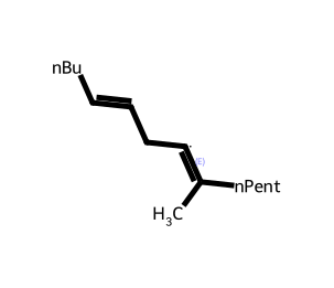 CCCCC=CC/[C]=C(\C)CCCCC